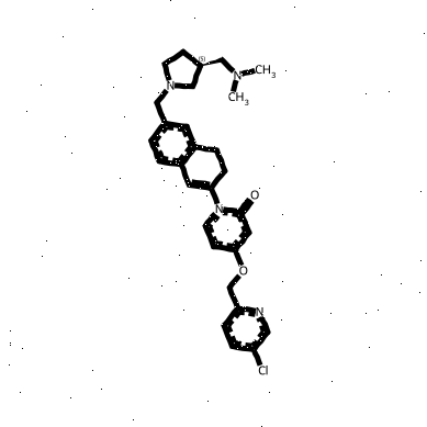 CN(C)C[C@@H]1CCN(Cc2ccc3c(c2)CCC(n2ccc(OCc4ccc(Cl)cn4)cc2=O)=C3)C1